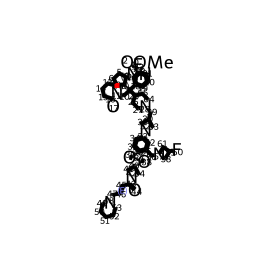 COC(=O)N[C@H]1CCC[C@@H]1C(CN1CCCCC1=O)(c1cccc(F)c1)C1CCN(CC2CN(c3ccc(S(=O)(=O)C4CN(C(=O)/C=C/CN5CCCCC5)C4)c(CN4CC(F)C4)c3)C2)CC1